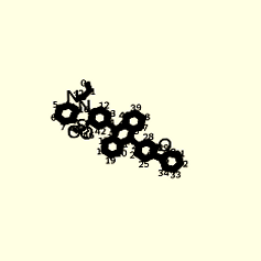 CCc1nc2cccc3c2n1-c1ccc(-c2c4ccccc4c(-c4ccc5c(c4)oc4ccccc45)c4ccccc24)cc1S3(=O)=O